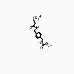 CC(C)(C)OC(=O)NCc1ccc(CNC(=O)CCC(=O)O)cc1